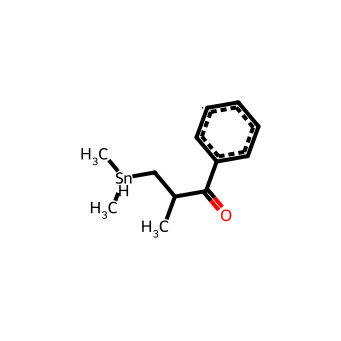 CC([CH2][SnH]([CH3])[CH3])C(=O)c1c[c]ccc1